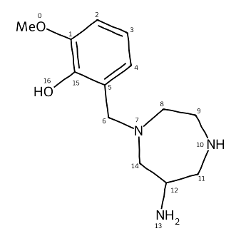 COc1cccc(CN2CCNCC(N)C2)c1O